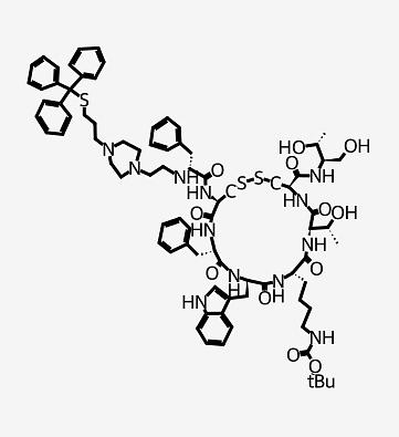 C[C@@H](O)[C@@H]1NC(=O)[C@H](CCCCNC(=O)OC(C)(C)C)NC(=O)[C@@H](Cc2c[nH]c3ccccc23)NC(=O)[C@H](Cc2ccccc2)NC(=O)[C@@H](NC(=O)[C@@H](Cc2ccccc2)NCCN2CCN(CCCSC(c3ccccc3)(c3ccccc3)c3ccccc3)CC2)CSSC[C@@H](C(=O)N[C@H](CO)[C@@H](C)O)NC1=O